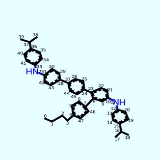 CCCCc1ccc(-c2cc(Nc3ccc(C(C)C)cc3)ccc2-c2ccc(-c3ccc(Nc4ccc(C(C)C)cc4)cc3)cc2)cc1